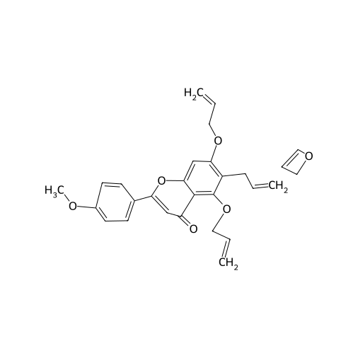 C1=COC1.C=CCOc1cc2oc(-c3ccc(OC)cc3)cc(=O)c2c(OCC=C)c1CC=C